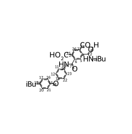 CCC(C)NC(=O)c1cc(C(=O)Nc2ccc(Oc3ccc(C(C)CC)cc3)cc2)c(C(=O)O)cc1C(=O)O